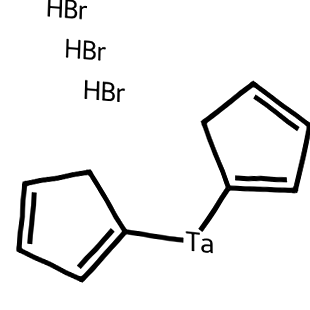 Br.Br.Br.C1=CC[C]([Ta][C]2=CC=CC2)=C1